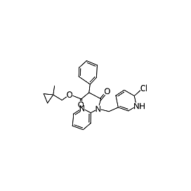 CC1(COC(=O)C(C(=O)N(CC2=CNC(Cl)C=C2)c2ccccn2)c2ccccc2)CC1